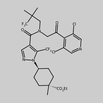 CCOC(=O)[C@]1(C)CC[C@@H](n2ncc(C(=O)N(CC(=O)c3c(Cl)cncc3Cl)CC(C)(C)C(F)(F)F)c2C(F)(F)F)CC1